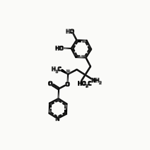 C[C@@H](CC(N)(Cc1ccc(O)c(O)c1)C(=O)O)OC(=O)c1ccncc1